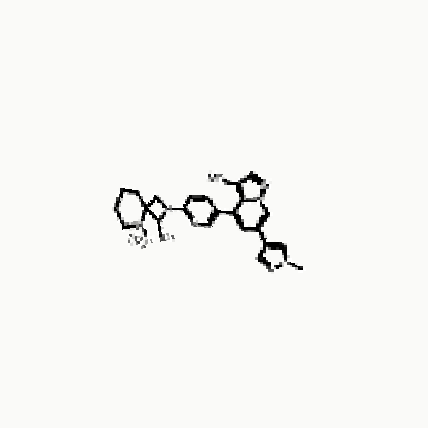 Cn1cc(-c2cc(-c3ccc(N4CC5(CCCCN5C(=O)O)C4C(C)(C)C)nc3)c3c(C#N)cnn3c2)cn1